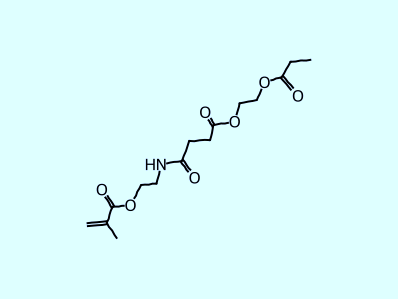 C=C(C)C(=O)OCCNC(=O)CCC(=O)OCCOC(=O)CC